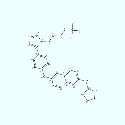 C[Si](C)(C)CCOCn1nccc1-c1cnc(Oc2ccc3nc(CN4CCCC4)ccc3c2)nc1